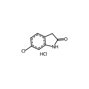 Cl.O=C1Cc2ccc(Cl)cc2N1